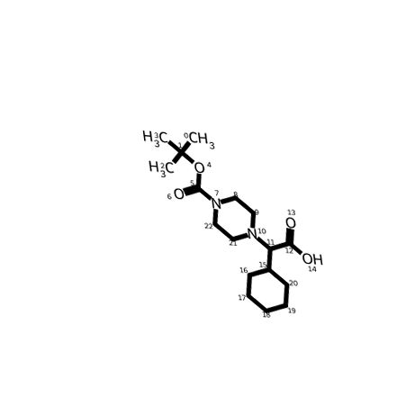 CC(C)(C)OC(=O)N1CCN(C(C(=O)O)C2CCCCC2)CC1